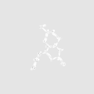 [N-]=[N+]=Nc1cc(=O)oc2ccc(Cl)cc12